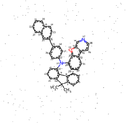 CC1(C)c2ccccc2-c2c(N(c3ccc(-c4ccc5ccccc5c4)cc3)c3cccc4c3oc3cnccc34)cccc21